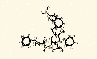 CN(C)c1nc2c(CN3C[C@H]4N(C(=O)CN4N(C)C(=O)NCc4ccccc4)[C@@H](c4ccccc4)C3=O)cccc2s1